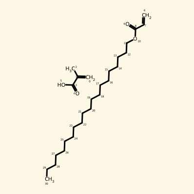 C=C(C)C(=O)O.C=CC(=O)OCCCCCCCCCCCCCCCCCCCC